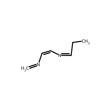 C=N/C=C\N=C/CC